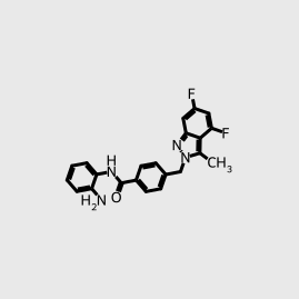 Cc1c2c(F)cc(F)cc2nn1Cc1ccc(C(=O)Nc2ccccc2N)cc1